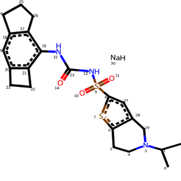 CC(C)N1CCc2sc(S(=O)(=O)NC(=O)Nc3c4c(cc5c3CC5)CCC4)cc2C1.[NaH]